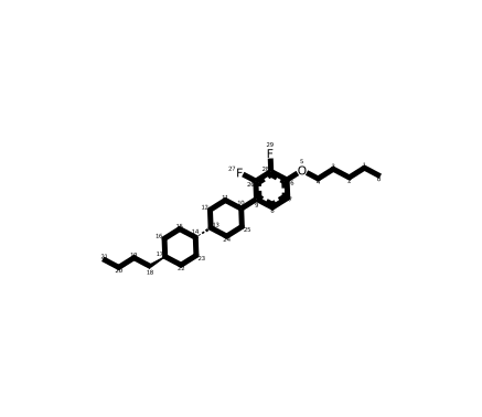 CCCCCOc1ccc(C2CCC([C@H]3CC[C@H](CCCC)CC3)CC2)c(F)c1F